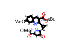 COC(=O)[C@@H]1CC(=O)CN1.COc1ccc2cc(C(=O)OC(C)(C)C)c(C3CC3)nc2c1